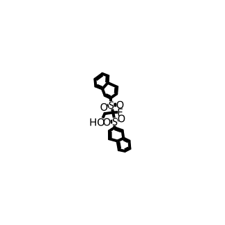 O=S(=O)(c1ccc2ccccc2c1)C(F)(CO)S(=O)(=O)c1ccc2ccccc2c1